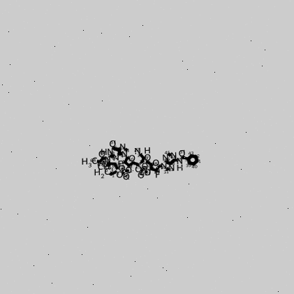 C=CCOP(=O)(OCCC#N)O[C@@H]1C(COP(=O)(OCCC#N)O[C@@H]2C(CO)OC(n3cnc4c(NC(=O)c5ccccc5)ncnc43)[C@@H]2F)OC(n2cnc3c(=O)[nH]c(NC(=O)C(C)C)nc32)[C@@H]1F